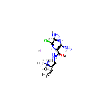 CC[C@H](CNC(=O)c1nc(Cl)c(N)nc1N)[N+](C)(C)C.[I-]